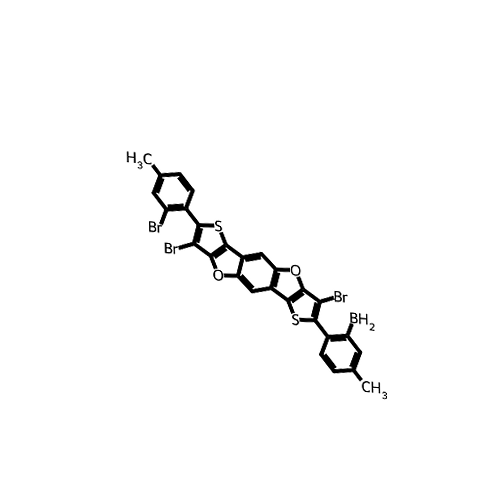 Bc1cc(C)ccc1-c1sc2c(oc3cc4c(cc32)oc2c(Br)c(-c3ccc(C)cc3Br)sc24)c1Br